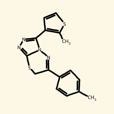 Cc1ccc(C2=Nn3c(nnc3-c3ccsc3C)SC2)cc1